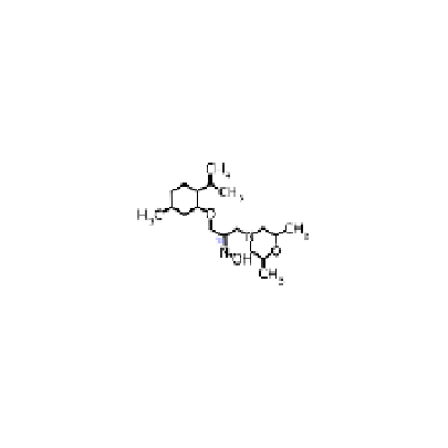 CC1CCC(C(C)C)C(OC/C(CN2CC(C)OC(C)C2)=N/O)C1